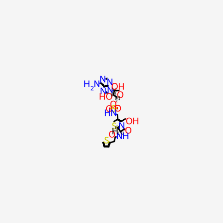 Nc1ncnc2c1ncn2[C@]1(O)CO[C@H](COS(=O)(=O)NCC2=C(CO)N3C(=O)[C@@H](NC(=O)Cc4cccs4)[C@H]3SC2)[C@H]1O